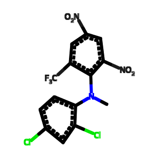 CN(c1ccc(Cl)cc1Cl)c1c([N+](=O)[O-])cc([N+](=O)[O-])cc1C(F)(F)F